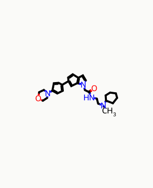 CN(CCNC(=O)Cn1ccc2ccc(-c3ccc(N4CCOCC4)cc3)cc21)C1CCCCC1